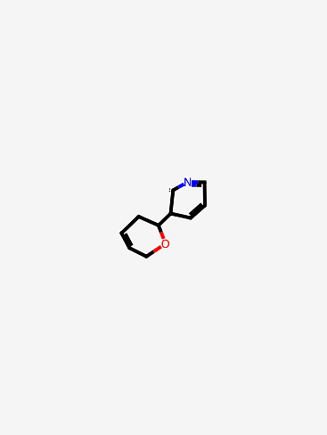 [C]1N=CC=CC1C1CC=CCO1